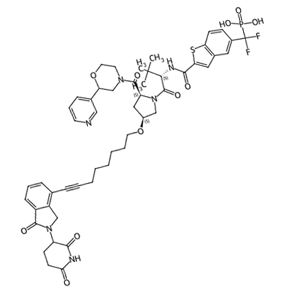 CC(C)(C)[C@H](NC(=O)c1cc2cc(C(F)(F)P(=O)(O)O)ccc2s1)C(=O)N1C[C@@H](OCCCCCCC#Cc2cccc3c2CN(C2CCC(=O)NC2=O)C3=O)C[C@H]1C(=O)N1CCOC(c2cccnc2)C1